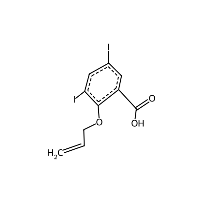 C=CCOc1c(I)cc(I)cc1C(=O)O